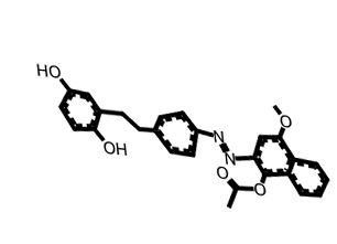 COc1cc(N=Nc2ccc(CCc3cc(O)ccc3O)cc2)c(OC(C)=O)c2ccccc12